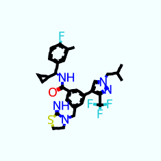 Cc1cc([C@@H](NC(=O)c2cc(CN3CCSC3=N)cc(-c3cn(CC(C)C)nc3C(F)(F)F)c2)C2CC2)ccc1F